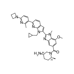 COc1cc(C(=O)N2C[C@H](N)CC[C@@H]2C)cc2nc(-c3cc4ccc(-c5ccc(N6CCC6)nc5C)nc4n3CC3CC3)n(C)c12